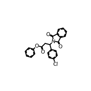 O=C(CC(c1ccc(Cl)cc1)N1C(=O)c2ccccc2C1=O)Oc1ccccc1